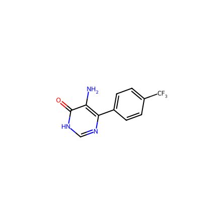 Nc1c(-c2ccc(C(F)(F)F)cc2)nc[nH]c1=O